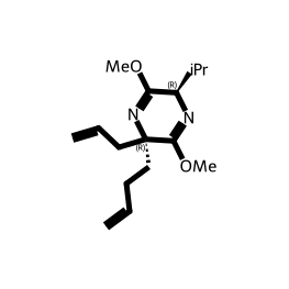 C=CCC[C@]1(CC=C)N=C(OC)[C@@H](C(C)C)N=C1OC